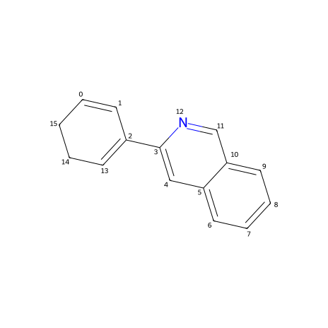 C1=CC(c2cc3ccccc3cn2)=CCC1